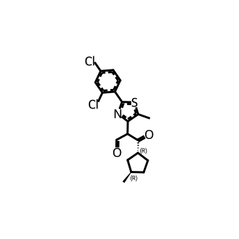 Cc1sc(-c2ccc(Cl)cc2Cl)nc1C(C=O)C(=O)[C@@H]1CC[C@@H](C)C1